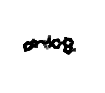 NC1(C(=O)NCc2nc3ccccc3s2)CCN(c2ncnc3[nH]ccc23)CC1